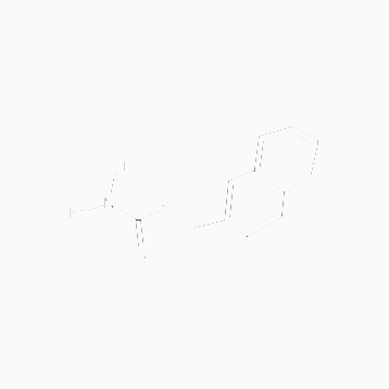 CCN(CC)C(=S)SCc1ccc2ccccc2c1